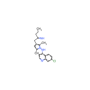 CCCC(=N)Cc1cc(C)n(Nc2ccnc3cc(Cl)ccc23)c1C